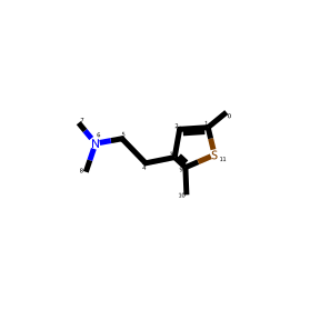 Cc1cc(CCN(C)C)c(C)s1